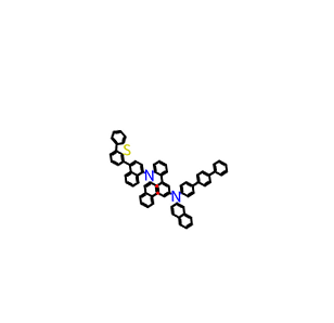 c1ccc(-c2ccc(-c3ccc(N(c4cccc(-c5ccccc5N(c5ccc6ccccc6c5)c5ccc(-c6cccc7c6sc6ccccc67)c6ccccc56)c4)c4ccc5ccccc5c4)cc3)cc2)cc1